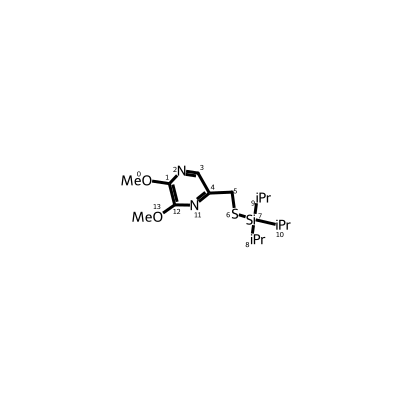 COc1ncc(CS[Si](C(C)C)(C(C)C)C(C)C)nc1OC